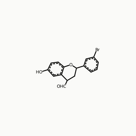 O=CC1CC(c2cccc(Br)c2)Oc2ccc(O)cc21